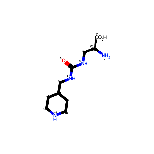 N[C@@H](CNC(=O)NCC1CCNCC1)C(=O)O